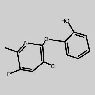 Cc1nc(Oc2ccccc2O)c(Cl)cc1F